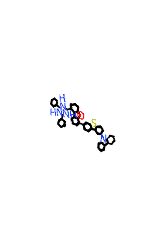 C1=Cc2c(n(-c3ccc4sc5cc(-c6cccc7c6oc6cccc(C8NC(c9ccccc9)NC(c9ccccc9)N8)c67)ccc5c4c3)c3ccccc23)CC1